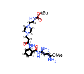 CO/C(N)=C/C=C(\N)NC(=O)c1ccccc1NC(=O)CCN1CCN(CCNC(=O)OC(C)(C)C)CC1